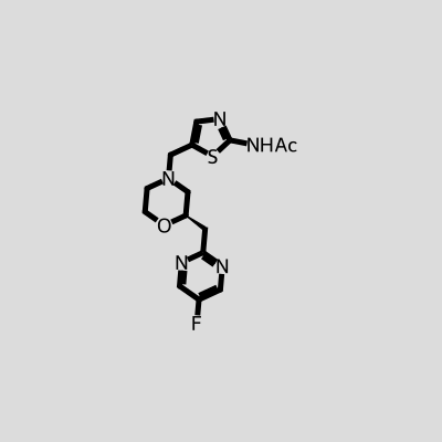 CC(=O)Nc1ncc(CN2CCO[C@H](Cc3ncc(F)cn3)C2)s1